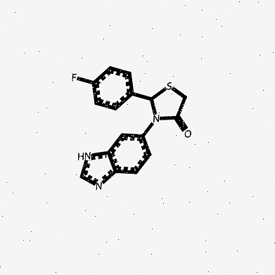 O=C1CSC(c2ccc(F)cc2)N1c1ccc2nc[nH]c2c1